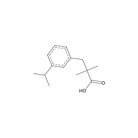 CC(C)c1cccc(CC(C)(C)C(=O)O)c1